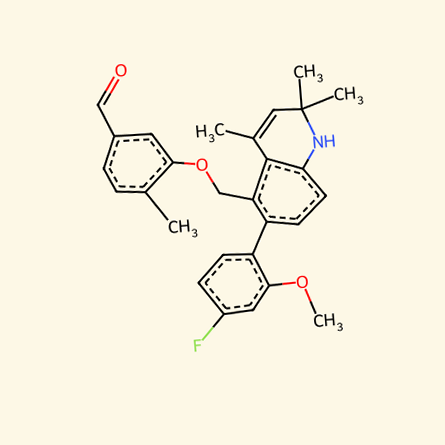 COc1cc(F)ccc1-c1ccc2c(c1COc1cc(C=O)ccc1C)C(C)=CC(C)(C)N2